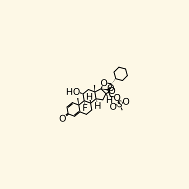 C[C@]12C=CC(=O)C=C1CC[C@H]1[C@@H]3C[C@H]4O[C@@H](C5CCCCC5)O[C@@]4(C(=O)COS(C)(=O)=O)[C@@]3(C)C[C@H](O)[C@@]12F